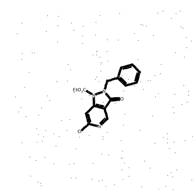 CCOC(=O)n1c2cc(Cl)ncc2c(=O)n1Cc1ccccc1